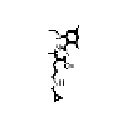 CCOc1cc(C)cc(C)c1-c1nc(C)c(CCCNCC2CC2)c(OC)n1